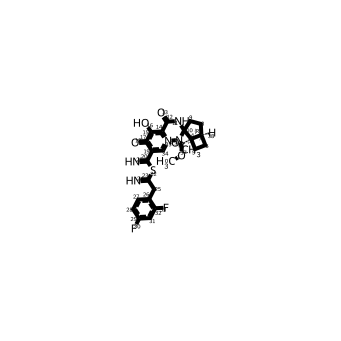 COC(=O)[C@@]12CC[C@@H]1CCC21NC(=O)c2c(O)c(=O)c(C(=N)SC(=N)Cc3ccc(F)cc3F)cn2N1C